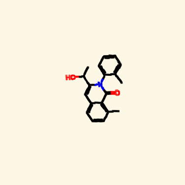 Cc1ccccc1-n1c(C(C)O)cc2cccc(C)c2c1=O